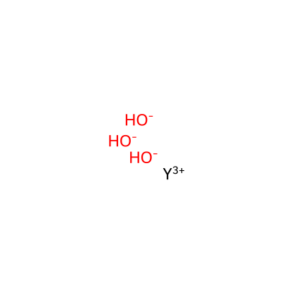 [OH-].[OH-].[OH-].[Y+3]